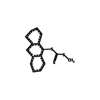 CSC(=S)Sc1c2ccccc2cc2ccccc12